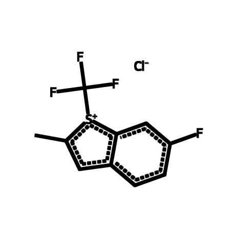 Cc1cc2ccc(F)cc2[s+]1C(F)(F)F.[Cl-]